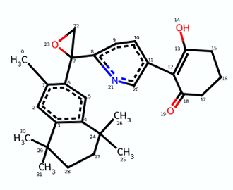 Cc1cc2c(cc1C1(c3ccc(C4=C(O)CCCC4=O)cn3)CO1)C(C)(C)CCC2(C)C